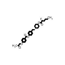 CCCCC(F)C(=O)O[C@H]1CC[C@H](CCc2ccc(OC(=O)c3ccc(OC[C@H](C)Cl)cc3)cc2)CC1